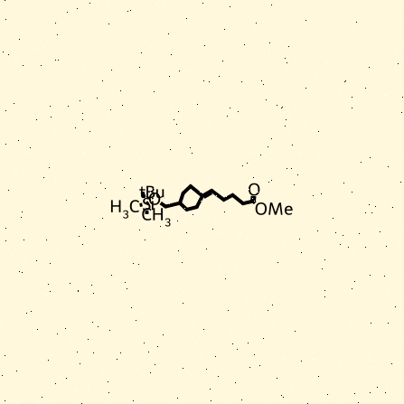 COC(=O)CCCC=C1CCC(CO[Si](C)(C)C(C)(C)C)CC1